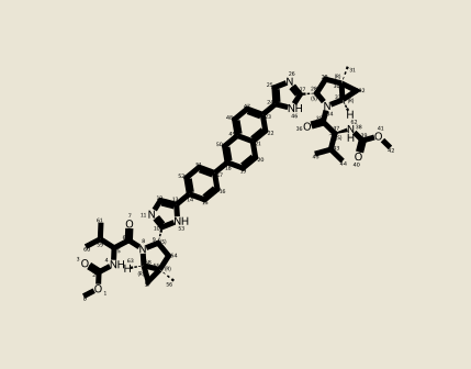 COC(=O)NC(C(=O)N1[C@H](c2ncc(-c3ccc(-c4ccc5cc(-c6cnc([C@@H]7C[C@@]8(C)C[C@H]8N7C(=O)[C@@H](NC(=O)OC)C(C)C)[nH]6)ccc5c4)cc3)[nH]2)C[C@@]2(C)C[C@@H]12)C(C)C